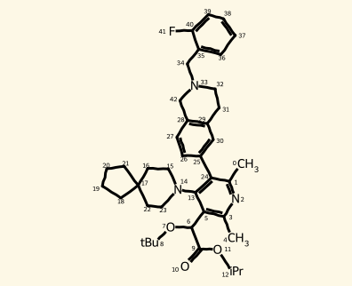 Cc1nc(C)c(C(OC(C)(C)C)C(=O)OC(C)C)c(N2CCC3(CCCC3)CC2)c1-c1ccc2c(c1)CCN(Cc1ccccc1F)C2